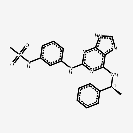 C[C@H](Nc1nc(Nc2cccc(NS(C)(=O)=O)c2)nc2[nH]cnc12)c1ccccc1